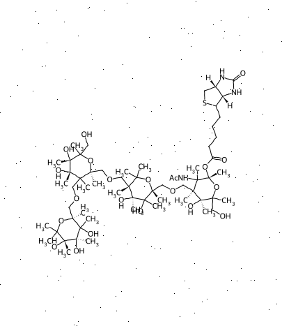 CC(=O)NC1(C)[C@](C)(OC(=O)CCCCC2SC[C@@H]3NC(=O)N[C@H]23)OC(C)(CO)[C@@](C)(O)[C@@]1(C)COC[C@@]1(C)OC(C)(C)[C@@](C)(COC[C@]2(C)OC(C)(CO)[C@@](C)(O)[C@@](C)(O)C2(C)COC[C@]2(C)OC(C)(C)[C@@](C)(O)[C@](C)(O)C2(C)O)[C@](C)(O)C1(C)O